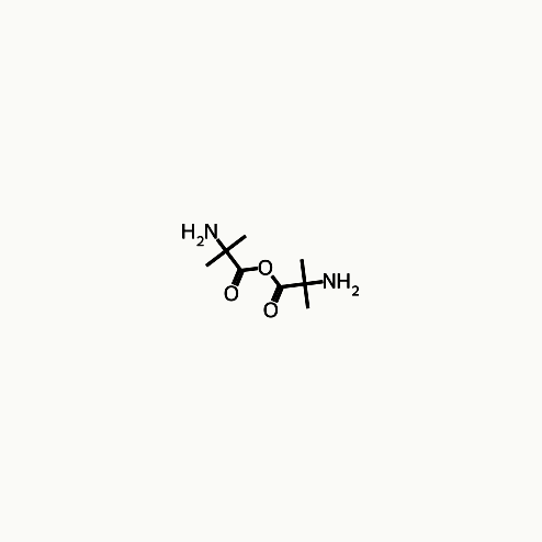 CC(C)(N)C(=O)OC(=O)C(C)(C)N